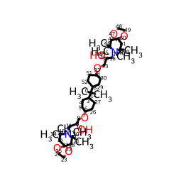 CC(C)(C1CCC(OCC(O)CN2C(C)(C)CC3(CC2(C)C)OCCO3)CC1)C1CCC(OCC(O)CN2C(C)(C)CC3(CC2(C)C)OCCO3)CC1